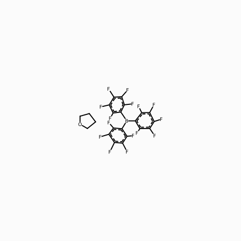 C1CCOC1.Fc1c(F)c(F)c(B(c2c(F)c(F)c(F)c(F)c2F)c2c(F)c(F)c(F)c(F)c2F)c(F)c1F